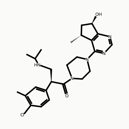 Cc1cc([C@@H](CNC(C)C)C(=O)N2CCN(c3ncnc4c3[C@H](C)C[C@H]4O)CC2)ccc1Cl